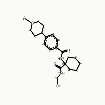 CC(C)N1CCC(c2ccc(C(=O)NC3(C(=O)NCC#N)CCCCC3)cc2)CC1